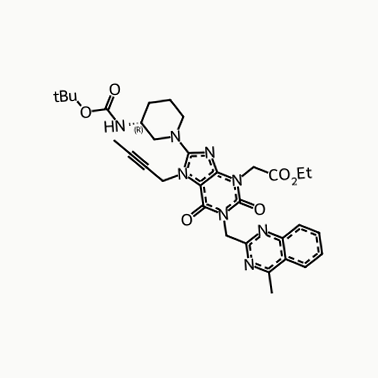 CC#CCn1c(N2CCC[C@@H](NC(=O)OC(C)(C)C)C2)nc2c1c(=O)n(Cc1nc(C)c3ccccc3n1)c(=O)n2CC(=O)OCC